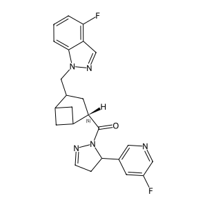 O=C([C@H]1CC(Cn2ncc3c(F)cccc32)C2CC1C2)N1N=CCC1c1cncc(F)c1